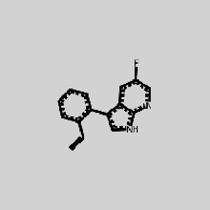 C=Cc1ccccc1-c1c[nH]c2ncc(F)cc12